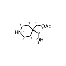 CC(=O)OCC1(CO)CCNCC1